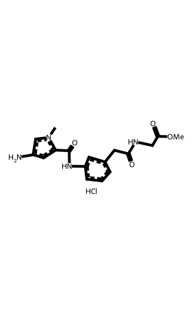 COC(=O)CNC(=O)Cc1cccc(NC(=O)c2cc(N)cn2C)c1.Cl